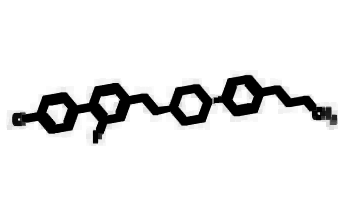 CCCCc1ccc([C@H]2CC[C@H](CCc3ccc(-c4ccc(Cl)cc4)c(F)c3)CC2)cc1